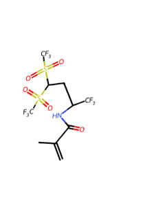 C=C(C)C(=O)NC(CC(S(=O)(=O)C(F)(F)F)S(=O)(=O)C(F)(F)F)C(F)(F)F